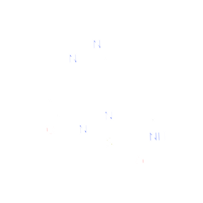 Cc1cc(-c2ccc3c(c2)N(c2nc4c(s2)C(=O)NC(C)(C)C4)CCO3)nc(C)n1